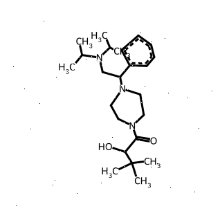 CC(C)N(CC(c1ccccc1)N1CCN(C(=O)C(O)C(C)(C)C)CC1)C(C)C